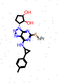 CCCSc1nc(NC2CC2c2ccc(C)cc2)c2nnn([C@@H]3CC[C@@H](O)[C@H]3O)c2n1